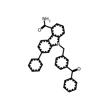 NC(=O)c1cccc2c1c1[c]cc(-c3ccccc3)cc1n2Cc1cccc(C(=O)c2ccccc2)c1